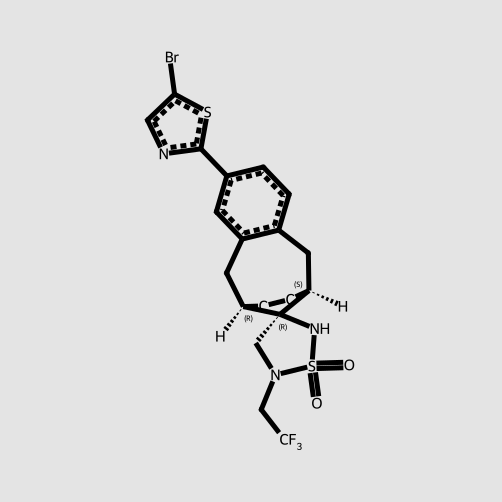 O=S1(=O)N[C@@]2(CN1CC(F)(F)F)[C@@H]1CC[C@H]2Cc2ccc(-c3ncc(Br)s3)cc2C1